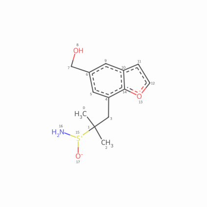 CC(C)(Cc1cc(CO)cc2ccoc12)[S+](N)[O-]